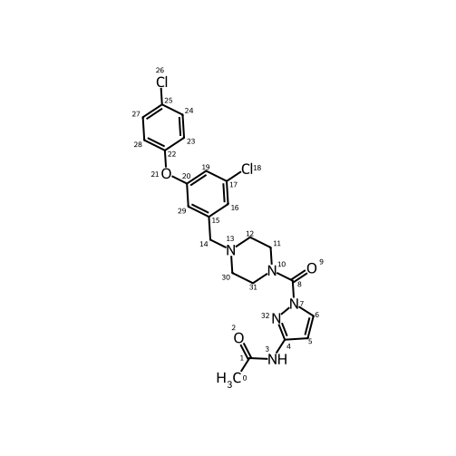 CC(=O)Nc1ccn(C(=O)N2CCN(Cc3cc(Cl)cc(Oc4ccc(Cl)cc4)c3)CC2)n1